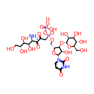 N[C@@H](C(=O)C(=O)CP(=O)(OC[C@H]1O[C@@H](n2ccc(=O)[nH]c2=O)[C@H](O)[C@@H]1O[C@H]1O[C@H](CO)[C@@H](O)[C@H](O)[C@@H]1O)OP(=O)(O)O)[C@@H](O)[C@H](O)[C@H](O)CO